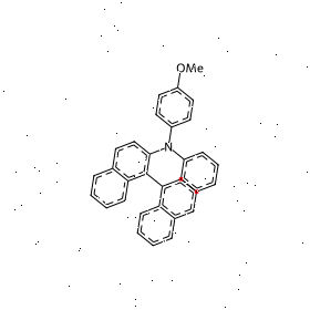 COc1ccc(N(c2ccccc2)c2ccc3ccccc3c2-c2cccc3ccccc23)cc1